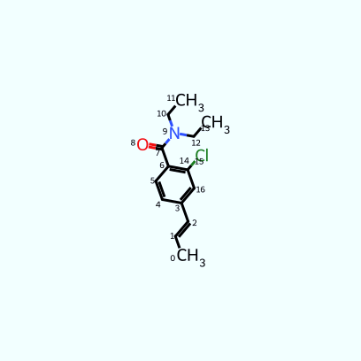 C/C=C/c1ccc(C(=O)N(CC)CC)c(Cl)c1